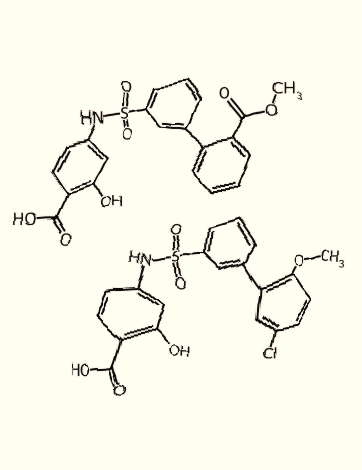 COC(=O)c1ccccc1-c1cccc(S(=O)(=O)Nc2ccc(C(=O)O)c(O)c2)c1.COc1ccc(Cl)cc1-c1cccc(S(=O)(=O)Nc2ccc(C(=O)O)c(O)c2)c1